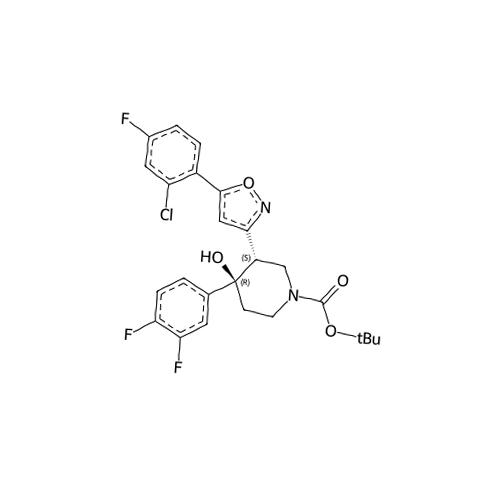 CC(C)(C)OC(=O)N1CC[C@](O)(c2ccc(F)c(F)c2)[C@H](c2cc(-c3ccc(F)cc3Cl)on2)C1